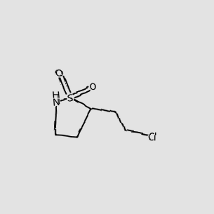 O=S1(=O)NCCC1CCCl